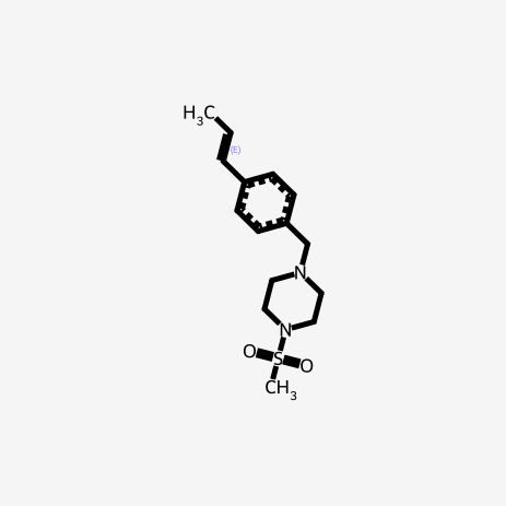 C/C=C/c1ccc(CN2CCN(S(C)(=O)=O)CC2)cc1